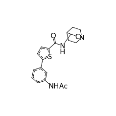 CC(=O)Nc1cccc(-c2ccc(C(=O)NC3CN4CCC3CC4)s2)c1